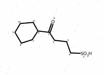 O=C(CCCS(=O)(=O)O)C1CCCCC1